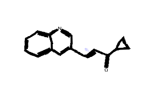 O=C(/C=C/c1cnc2ccccc2c1)C1CC1